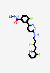 CCNC(=O)c1ccc(F)c(-c2ccc(NCC[C@H](F)Cc3ncccc3F)nn2)c1